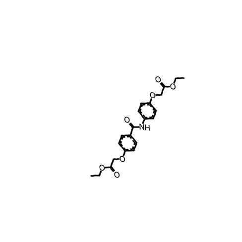 CCOC(=O)COc1ccc(NC(=O)c2ccc(OCC(=O)OCC)cc2)cc1